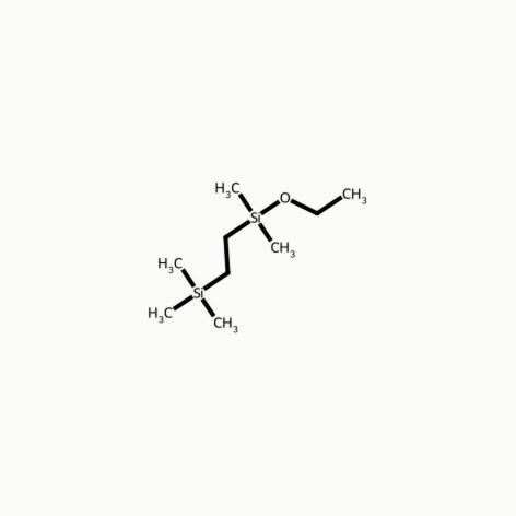 CCO[Si](C)(C)CC[Si](C)(C)C